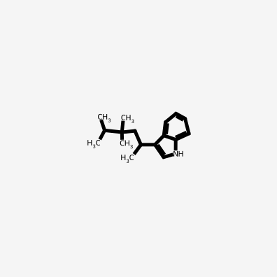 CC(CC(C)(C)C(C)C)c1c[nH]c2ccccc12